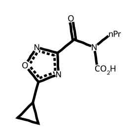 CCCN(C(=O)O)C(=O)c1noc(C2CC2)n1